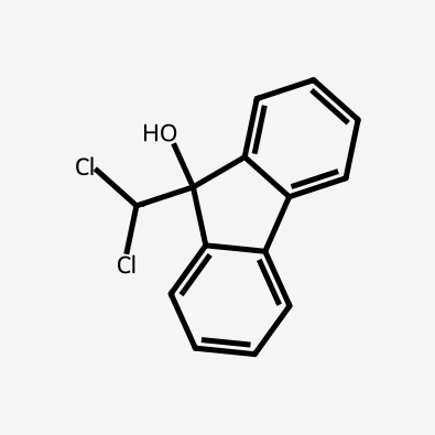 OC1([C](Cl)Cl)c2ccccc2-c2ccccc21